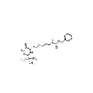 CC(C)(C)C(=O)N[C@@H](CCSCCCNC(=O)OCc1ccccc1)C(=O)O